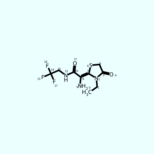 CCN1C(=O)CS/C1=C(/N)C(=O)NCC(F)(F)F